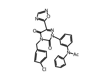 CC(=O)N(c1ccccc1)c1cccc(-n2nc(-c3ncno3)c(=O)n(Cc3ccc(Cl)cc3)c2=O)c1